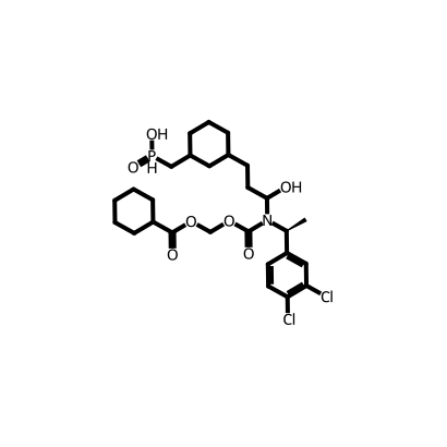 C[C@@H](c1ccc(Cl)c(Cl)c1)N(C(=O)OCOC(=O)C1CCCCC1)C(O)CCC1CCCC(C[PH](=O)O)C1